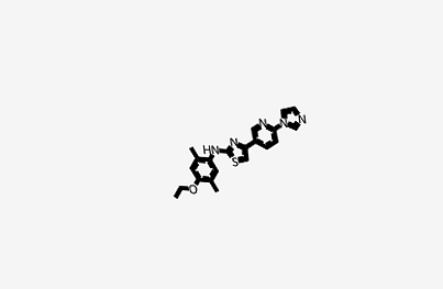 CCOc1cc(C)c(Nc2nc(-c3ccc(-n4ccnc4)nc3)cs2)cc1C